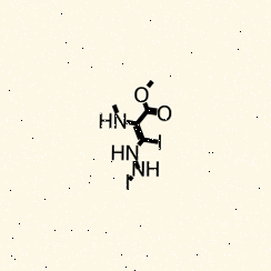 CN/C(C(=O)OC)=C(/I)NNI